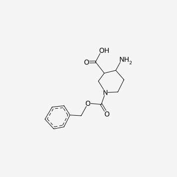 NC1CCN(C(=O)OCc2ccccc2)CC1C(=O)O